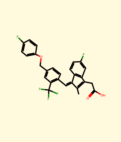 CC1=C(CC(=O)O)c2cc(F)ccc2/C1=C\c1ccc(COc2ccc(F)cc2)cc1C(F)(F)F